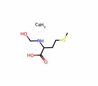 CSCCC(NCO)C(=O)O.[CaH2]